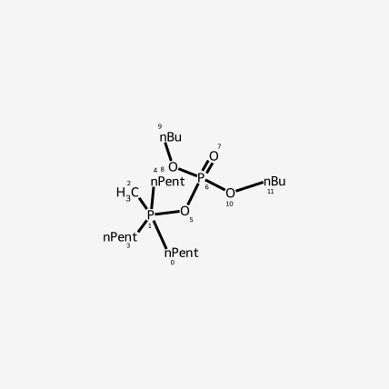 CCCCCP(C)(CCCCC)(CCCCC)OP(=O)(OCCCC)OCCCC